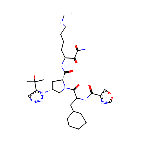 CC(C)(O)c1cnnn1[C@H]1C[C@@H](C(=O)NC(CCCCNC(=O)O)C(=O)C(N)=O)N(C(=O)C(CC2CCCCC2)NC(=O)c2cocn2)C1